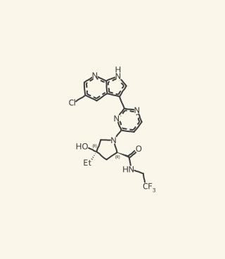 CC[C@@]1(O)C[C@H](C(=O)NCC(F)(F)F)N(c2ccnc(-c3c[nH]c4ncc(Cl)cc34)n2)C1